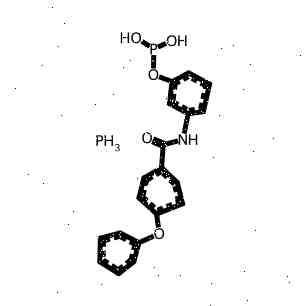 O=C(Nc1cccc(OP(O)O)c1)c1ccc(Oc2ccccc2)cc1.P